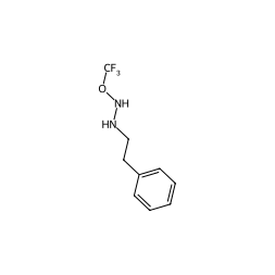 FC(F)(F)ONNCCc1ccccc1